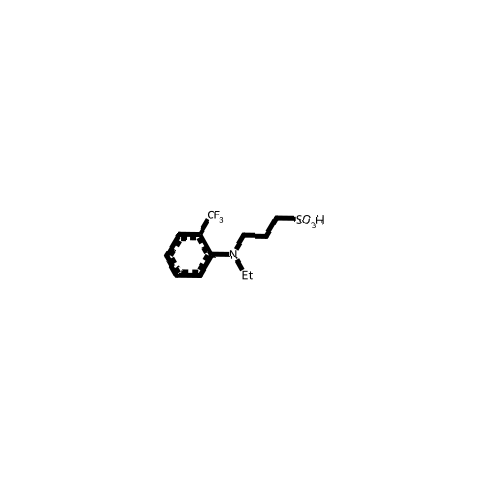 CCN(CCCS(=O)(=O)O)c1ccccc1C(F)(F)F